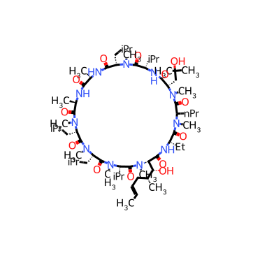 C/C=C/C[C@@H](C)[C@@H](O)[C@H]1C(=O)N[C@@H](CC)C(=O)N(C)C(CCC)C(=O)N(C)[C@@H](CC(C)(C)O)C(=O)N[C@@H](C(C)C)C(=O)N(C)[C@@H](CC(C)C)C(=O)N[C@@H](C)C(=O)N[C@H](C)C(=O)N(C)[C@@H](CC(C)C)C(=O)N(C)[C@@H](CC(C)C)C(=O)N(C)[C@@H](C(C)C)C(=O)N1C